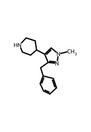 Cn1cc(C2CCNCC2)c(Cc2ccccc2)n1